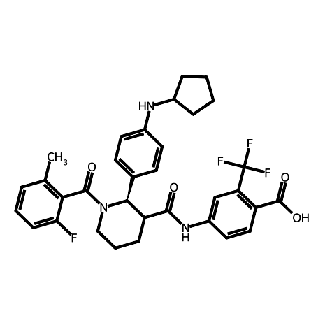 Cc1cccc(F)c1C(=O)N1CCCC(C(=O)Nc2ccc(C(=O)O)c(C(F)(F)F)c2)[C@@H]1c1ccc(NC2CCCC2)cc1